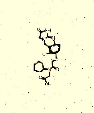 O=C(O)CN(C(=O)COc1ccc2c(c1Cl)CN1CC(=O)NC1=N2)C1CCCCC1